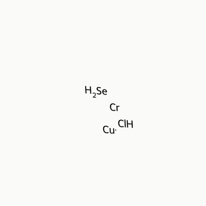 Cl.[Cr].[Cu].[SeH2]